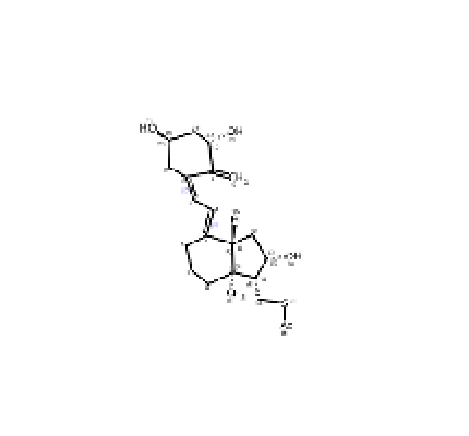 C=C1/C(=C\C=C2/CCC[C@@]3(C)[C@H]2C[C@H](O)[C@@H]3CSC(C)=O)C[C@@H](O)C[C@@H]1O